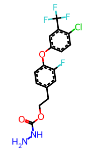 NNC(=O)OCCc1ccc(Oc2ccc(Cl)c(C(F)(F)F)c2)c(F)c1